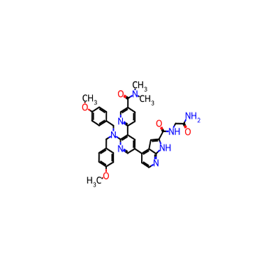 COc1ccc(CN(Cc2ccc(OC)cc2)c2ncc(-c3ccnc4[nH]c(C(=O)NCC(N)=O)cc34)cc2-c2ccc(C(=O)N(C)C)cn2)cc1